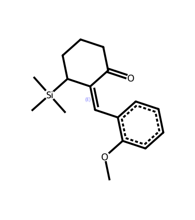 COc1ccccc1/C=C1\C(=O)CCCC1[Si](C)(C)C